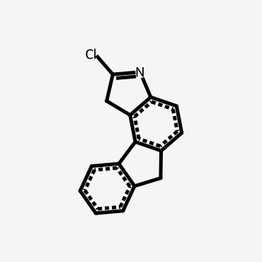 ClC1=Nc2ccc3c(c2C1)-c1ccccc1C3